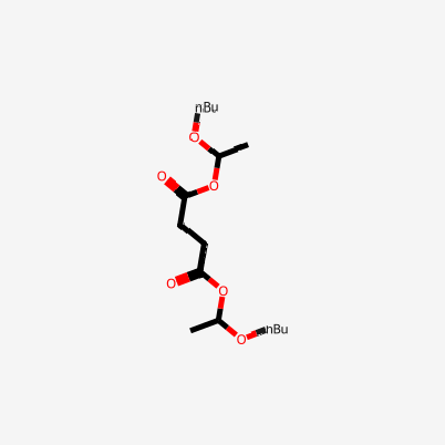 CCCCOC(C)OC(=O)CCC(=O)OC(C)OCCCC